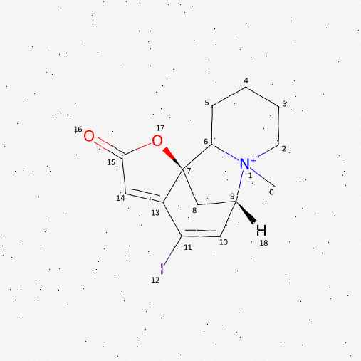 C[N+]12CCCCC1[C@]13C[C@H]2C=C(I)C1=CC(=O)O3